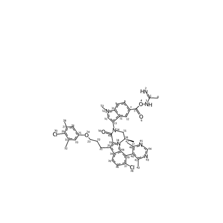 CC(=N)NOC(=O)c1ccc2c(c1)c(N1C[C@@H](C)n3c(c(CCCOc4cc(C)c(Cl)c(C)c4)c4ccc(Cl)c(-c5c(C)ncnc5C)c43)C1=O)cn2C